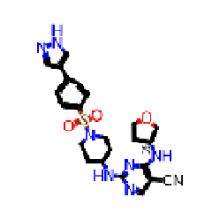 N#Cc1cnc(NC2CCN(S(=O)(=O)c3ccc(-c4cn[nH]c4)cc3)CC2)nc1N[C@H]1CCOC1